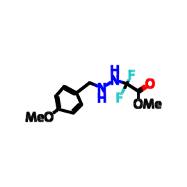 COC(=O)C(F)(F)NNCc1ccc(OC)cc1